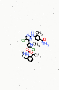 CCc1cccc(CC)c1NC(=O)Oc1cc(-c2nc(Nc3ccc(C(N)=O)cc3C)ncc2Cl)n(C)c1Cl